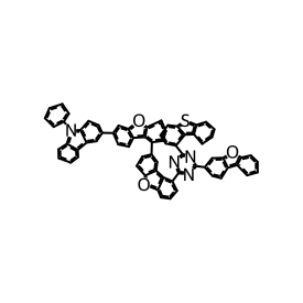 c1ccc(-n2c3ccccc3c3cc(-c4ccc5c(c4)oc4cccc(-c6ccc7oc8cccc(-c9nc(-c%10ccc%11c(c%10)oc%10ccccc%10%11)nc(-c%10cccc%11sc%12ccccc%12c%10%11)n9)c8c7c6)c45)ccc32)cc1